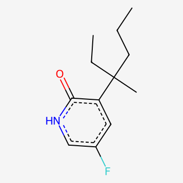 CCCC(C)(CC)c1cc(F)c[nH]c1=O